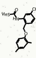 CSC(=O)Nc1cc(C(F)(F)F)ccc1COc1ccc(C)cc1C